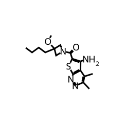 CCCCC1(OC)CN(C(=O)c2sc3nnc(C)c(C)c3c2N)C1